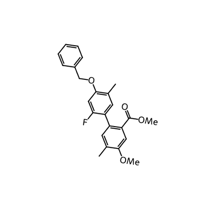 COC(=O)c1cc(OC)c(C)cc1-c1cc(C)c(OCc2ccccc2)cc1F